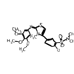 COc1cc(N=c2scc(-c3ccc(Cl)c(S(=O)(=O)N(C)C)c3)n2C)cc(OC)c1OC